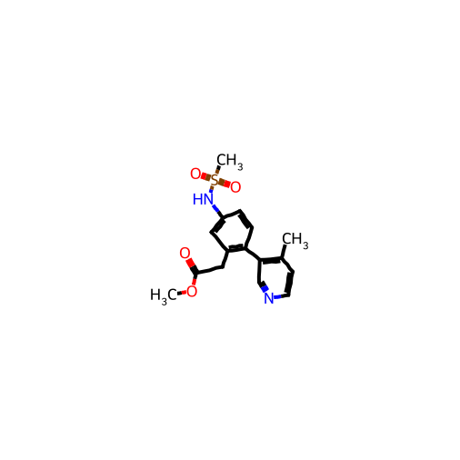 COC(=O)Cc1cc(NS(C)(=O)=O)ccc1-c1cnccc1C